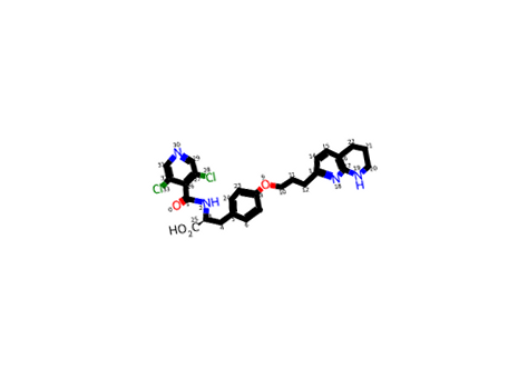 O=C(N[C@H](Cc1ccc(OCCCc2ccc3c(n2)NCCC3)cc1)C(=O)O)c1c(Cl)cncc1Cl